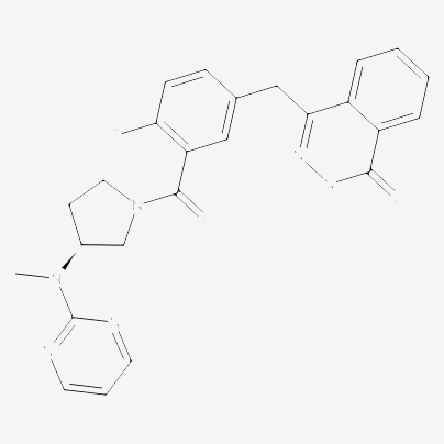 CN(c1ncccn1)[C@H]1CCN(C(=O)c2cc(Cc3n[nH]c(=O)c4ccccc34)ccc2F)C1